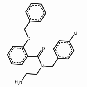 NCCN(Cc1ccc(Cl)cc1)C(=O)c1ccccc1OCc1ccccc1